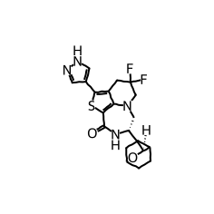 O=C1N[C@@H]([C@@H]2OC3CCC2CC3)CN2CC(F)(F)Cc3c(-c4cn[nH]c4)sc1c32